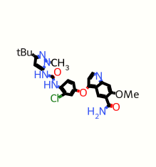 COc1cc2nccc(Oc3ccc(NC(=O)Nc4cc(C(C)(C)C)nn4C)c(Cl)c3)c2cc1C(N)=O